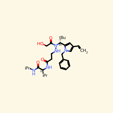 C=Cc1cc([C@H](N(NCCC(=O)N[C@H](C(=O)NC(C)C)C(C)C)C(=O)CO)C(C)(C)C)n(Cc2ccccc2)c1